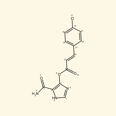 NC(=O)c1[nH]cnc1OC(=O)C=Cc1ccc(Cl)cc1